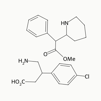 COC(=O)C(c1ccccc1)C1CCCCN1.NCC(CC(=O)O)c1ccc(Cl)cc1